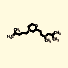 CC(C)CCCN1CCOC(CCN(C)CC(C)C)C1